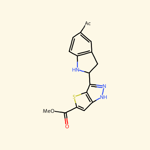 COC(=O)c1cc2[nH]nc(C3Cc4cc(C(C)=O)ccc4N3)c2s1